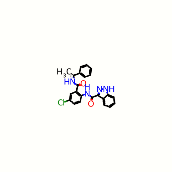 C[C@@H](NC(=O)c1cc(Cl)ccc1NC(=O)c1n[nH]c2ccccc12)c1ccccc1